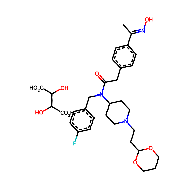 C/C(=N\O)c1ccc(CC(=O)N(Cc2ccc(F)cc2)C2CCN(CCC3OCCCO3)CC2)cc1.O=C(O)C(O)C(O)C(=O)O